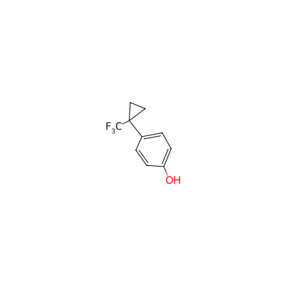 Oc1ccc(C2(C(F)(F)F)CC2)cc1